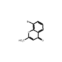 O=C(O)c1cc(=O)c2cccc(Br)c2o1